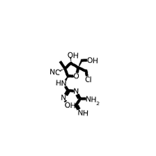 C[C@]1(C#N)[C@H](NC(=N/O)/N=C(/N)C=N)O[C@@](CO)(CCl)[C@H]1O